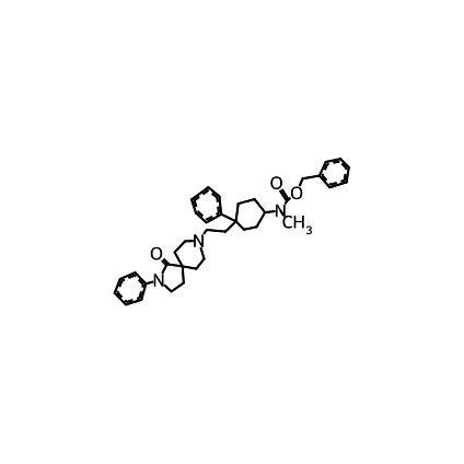 CN(C(=O)OCc1ccccc1)C1CCC(CCN2CCC3(CC2)CCN(c2ccccc2)C3=O)(c2ccccc2)CC1